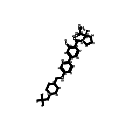 CC(C)(C)CN1CCC(COc2ccc(-c3ccc(C(=O)N4CCC[C@@]4(C)C(N)=O)c(F)c3)nc2)CC1